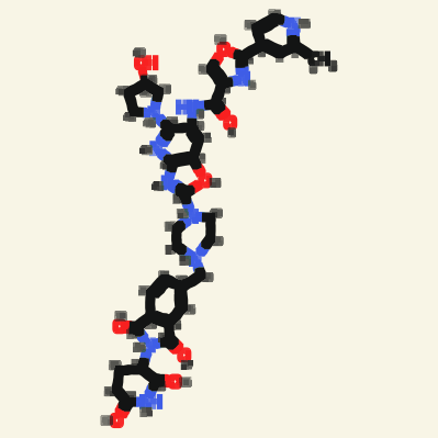 Cc1cc(-c2nc(C(=O)Nc3cc4oc(N5CCN(Cc6ccc7c(c6)C(=O)N(C6CCC(=O)NC6=O)C7=O)CC5)nc4nc3N3CC[C@@H](O)C3)co2)ccn1